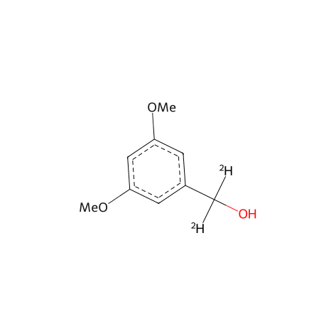 [2H]C([2H])(O)c1cc(OC)cc(OC)c1